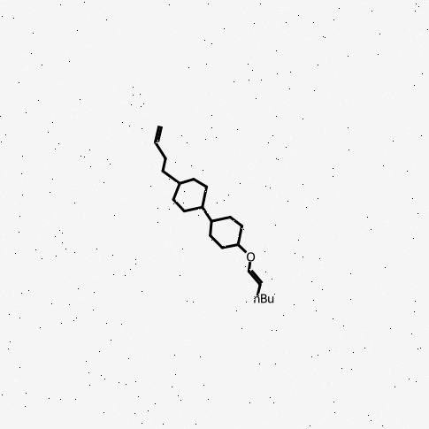 C=CCCC1CCC(C2CCC(OC=CCCCC)CC2)CC1